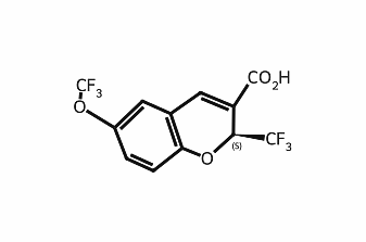 O=C(O)C1=Cc2cc(OC(F)(F)F)ccc2O[C@@H]1C(F)(F)F